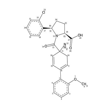 COc1ccccc1C1=CCC(N)(C(=O)N2[C@@H](c3ccccc3Cl)CC[C@H]2C(=O)O)C=C1